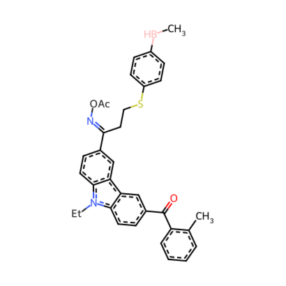 CBc1ccc(SCC/C(=N\OC(C)=O)c2ccc3c(c2)c2cc(C(=O)c4ccccc4C)ccc2n3CC)cc1